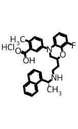 Cc1ccc(N2CC(CCN[C@H](C)c3cccc4ccccc34)Oc3c(F)cccc32)cc1C(=O)O.Cl